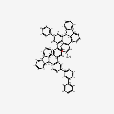 N#Cc1cccc(-c2cccc3c4ccccc4n(-c4nc(-c5ccccc5)nc(-c5ccc(-c6cc(-c7cccc(-c8ccccc8)c7)ccc6-n6c7ccccc7c7ccccc76)cc5)n4)c23)c1